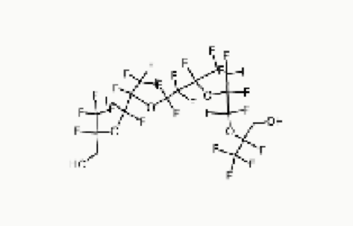 OCC(F)(OC(F)(F)C(F)(OC(F)(F)C(F)(F)C(F)(CF)OC(F)(C(F)(F)F)C(F)(F)OC(F)(CO)C(F)(F)F)C(F)(F)F)C(F)(F)F